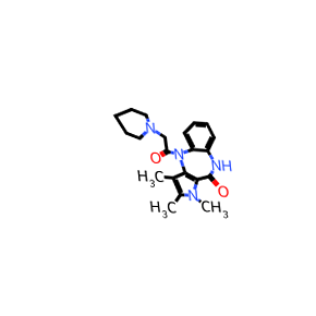 Cc1c2c(n(C)c1C)C(=O)Nc1ccccc1N2C(=O)CN1CCCCC1